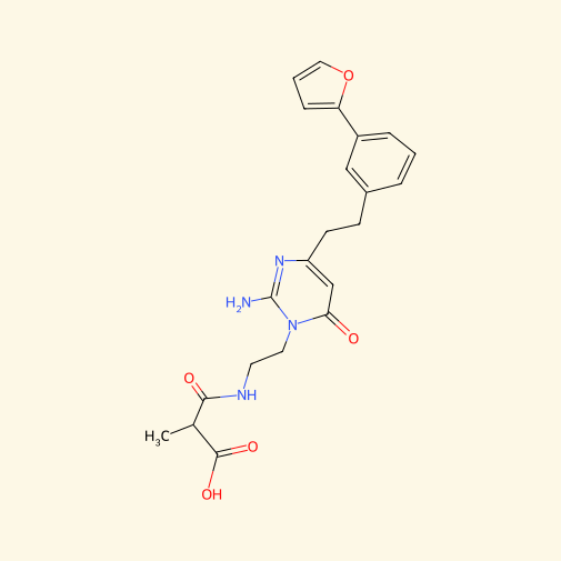 CC(C(=O)O)C(=O)NCCn1c(N)nc(CCc2cccc(-c3ccco3)c2)cc1=O